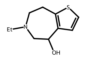 CCN1CCc2sccc2C(O)C1